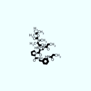 C=CC(=O)NC[C@H](NC(=C)[C@H](C)N(C)C(=O)OC(C)(C)C)C(=O)N1CCC[C@H]1C(=O)NCc1cccc(NC(=O)C=C)c1